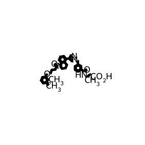 Cc1cccc(OCCCC(=O)N2CCCc3c(-c4cnn(Cc5cccc(C(=O)N[C@@H](C)CC(=O)O)c5)c4)cccc32)c1C